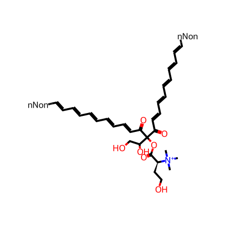 CCCCCCCCCC=CC=CC=CC=CC=CC(=O)C(OC(=O)[C@H](CCO)[N+](C)(C)C)(C(=O)C=CC=CC=CC=CC=CCCCCCCCCC)C(O)CO